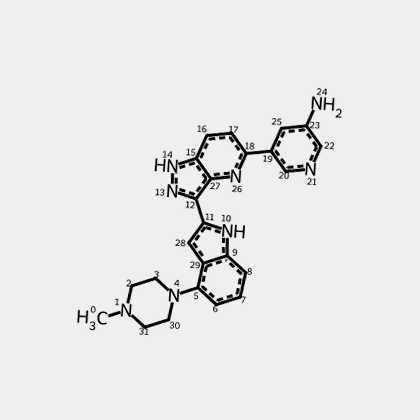 CN1CCN(c2cccc3[nH]c(-c4n[nH]c5ccc(-c6cncc(N)c6)nc45)cc23)CC1